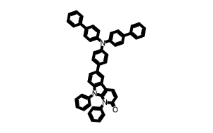 O=c1ccc2c3cc(-c4ccc(N(c5ccc(-c6ccccc6)cc5)c5ccc(-c6ccccc6)cc5)cc4)ccc3n(-c3ccccc3)c2n1-c1ccccc1